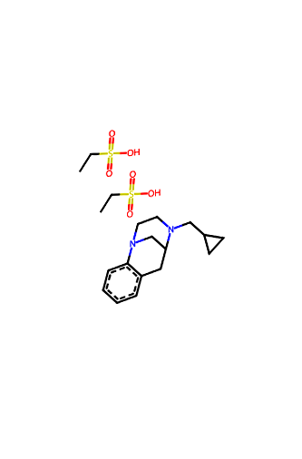 CCS(=O)(=O)O.CCS(=O)(=O)O.c1ccc2c(c1)CC1CN2CCN1CC1CC1